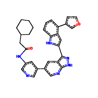 O=C(CC1CCCCC1)Nc1cncc(-c2cnc3[nH]nc(-c4cc5c(-c6ccoc6)cccc5[nH]4)c3c2)c1